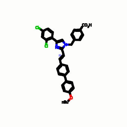 CCCCOc1ccc(-c2ccc(/C=C/c3nc(-c4ccc(Cl)cc4Cl)cn3Cc3ccc(C(=O)O)cc3)cc2)cc1